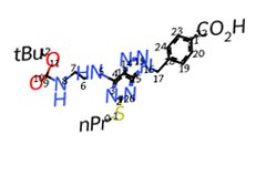 CCCSc1nc(NCCNC(=O)OC(C)(C)C)c2nnn(Cc3ccc(C(=O)O)cc3)c2n1